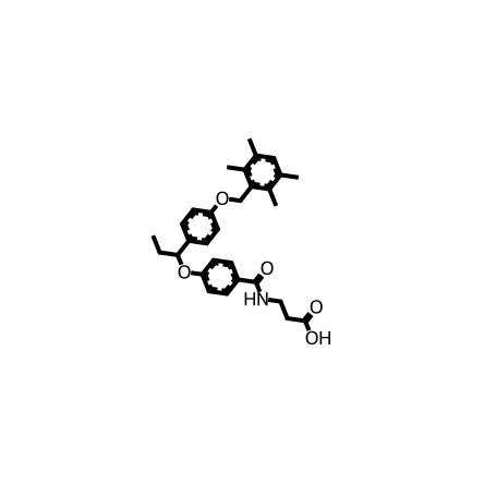 CCC(Oc1ccc(C(=O)NCCC(=O)O)cc1)c1ccc(OCc2c(C)c(C)cc(C)c2C)cc1